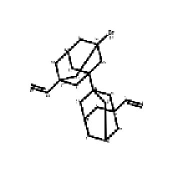 C=CC12CC3CC(C1)CC(C14CC5CC(Br)(CC(C=C)(C5)C1)C4)(C3)C2